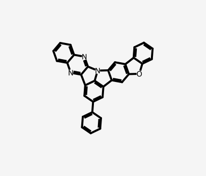 c1ccc(-c2cc3c4cc5oc6ccccc6c5cc4n4c5nc6ccccc6nc5c(c2)c34)cc1